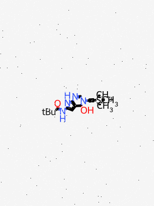 CC(C)(C)C(=O)Nc1cc2c([nH]1)N=CN(C#C[Si](C)(C)C)C2O